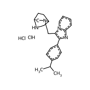 CC(C)c1ccc(-c2nc3ccccn3c2CN2CC3CCC2CN3)cc1.Cl.Cl